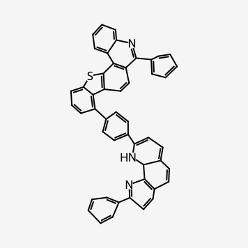 C1=Cc2ccc(-c3ccccc3)nc2C2NC(c3ccc(-c4cccc5sc6c(ccc7c(-c8ccccc8)nc8ccccc8c76)c45)cc3)=CC=C12